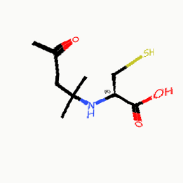 CC(=O)CC(C)(C)N[C@@H](CS)C(=O)O